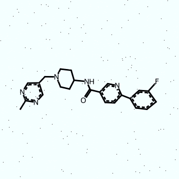 Cc1ncc(CN2CCC(NC(=O)c3ccc(-c4cccc(F)c4)nc3)CC2)cn1